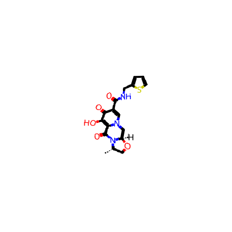 C[C@H]1CO[C@@H]2Cn3cc(C(=O)NCc4cccs4)c(=O)c(O)c3C(=O)N12